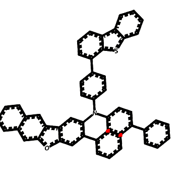 c1ccc(-c2ccc(N(c3ccc(-c4cccc5c4sc4ccccc45)cc3)c3cc4c(cc3-c3ccccc3)oc3cc5ccccc5cc34)cc2)cc1